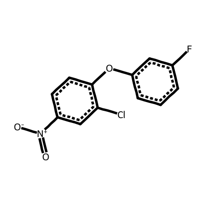 O=[N+]([O-])c1ccc(Oc2cccc(F)c2)c(Cl)c1